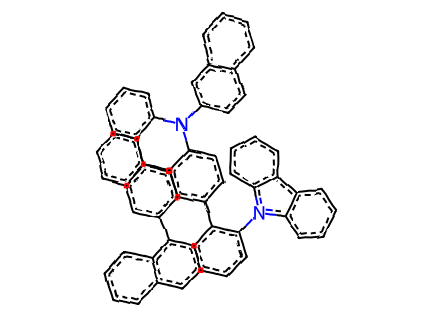 c1ccc(-c2cc(-c3ccccc3-n3c4ccccc4c4ccccc43)ccc2N(c2ccc3ccccc3c2)c2ccccc2-c2ccc(-c3cccc4ccccc34)cc2)cc1